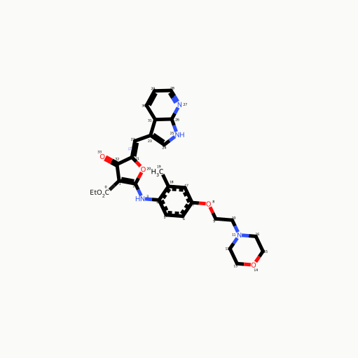 CCOC(=O)C1=C(Nc2ccc(OCCN3CCOCC3)cc2C)O/C(=C\C2=CNC3N=CC=CC23)C1=O